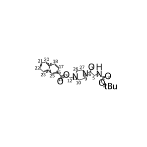 CC(C)(C)OC(=O)NCC(=O)N1CCN(COC(=O)c2ccc3ccccc3c2)CC1